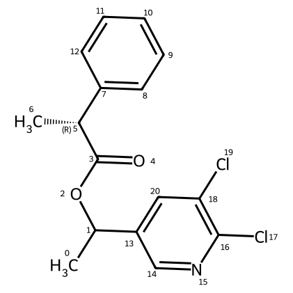 CC(OC(=O)[C@H](C)c1ccccc1)c1cnc(Cl)c(Cl)c1